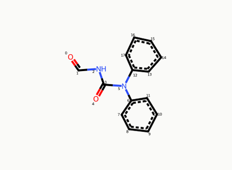 O=CNC(=O)N(c1ccccc1)c1ccccc1